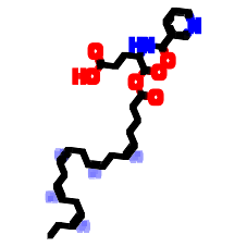 CC/C=C\C/C=C\C/C=C\C/C=C\C/C=C\CCCC(=O)OC(=O)C(CCC(=O)O)NC(=O)c1cccnc1